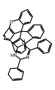 C1=CCCC(C2N=C(c3ccccc3)NC(c3cccc4c3C3(c5ccccc5O4)c4ccccc4-c4ccccc43)N2)=C1